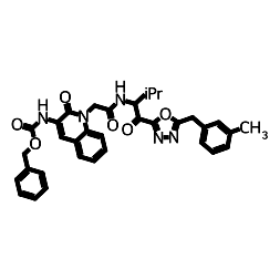 Cc1cccc(Cc2nnc(C(=O)C(NC(=O)Cn3c(=O)c(NC(=O)OCc4ccccc4)cc4ccccc43)C(C)C)o2)c1